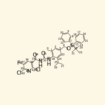 Cc1cc(CO[Si](c2ccccc2)(c2ccccc2)C(C)(C)C)cc(C(C)C)c1NC(=O)NC(=O)c1cc(F)c(Cl)nc1Cl